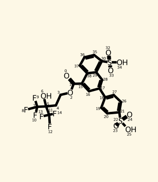 O=C(OCCC(O)(C(F)(F)F)C(F)(F)F)c1cc(-c2ccc(S(=O)(=O)O)cc2)cc2c(S(=O)(=O)O)cccc12